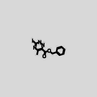 Cc1nc(I)nnc1C(=O)OCc1ccccc1